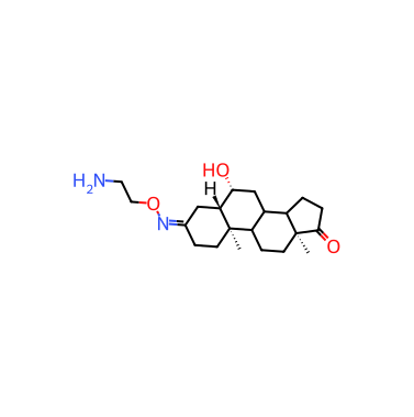 C[C@]12CCC3C(C[C@@H](O)[C@H]4CC(=NOCCN)CC[C@]34C)C1CCC2=O